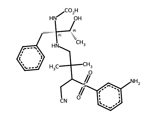 C[C@@H](O)[C@@](Cc1ccccc1)(NCC(C)(C)C(CC#N)S(=O)(=O)c1cccc(N)c1)NC(=O)O